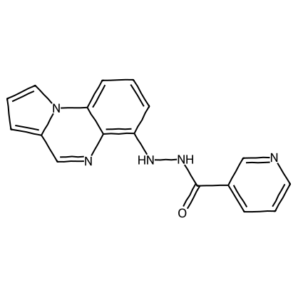 O=C(NNc1cccc2c1ncc1cccn12)c1cccnc1